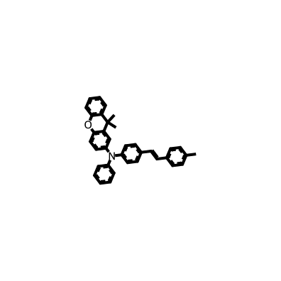 Cc1ccc(C=Cc2ccc(N(c3ccccc3)c3ccc4c(c3)C(C)(C)c3ccccc3O4)cc2)cc1